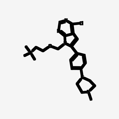 CN1CCN(c2ccc(-c3cc4c(Cl)ncnc4n3COCC[Si](C)(C)C)cc2)CC1